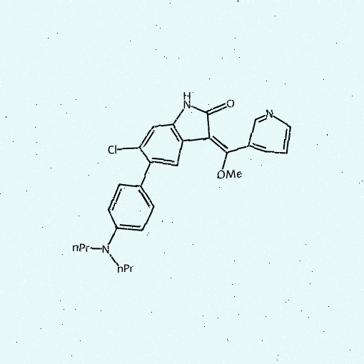 CCCN(CCC)c1ccc(-c2cc3c(cc2Cl)NC(=O)C3=C(OC)c2cccnc2)cc1